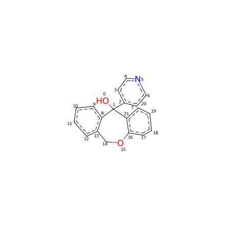 OC1(c2ccncc2)c2ccccc2COc2ccccc21